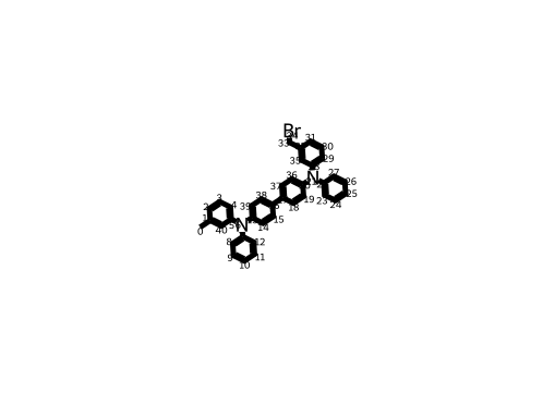 Cc1cccc(N(c2ccccc2)c2ccc(-c3ccc(N(c4ccccc4)c4cccc(CBr)c4)cc3)cc2)c1